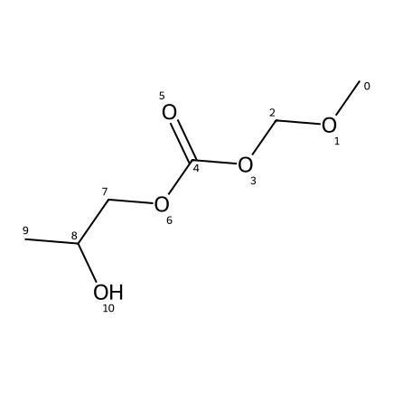 COCOC(=O)OCC(C)O